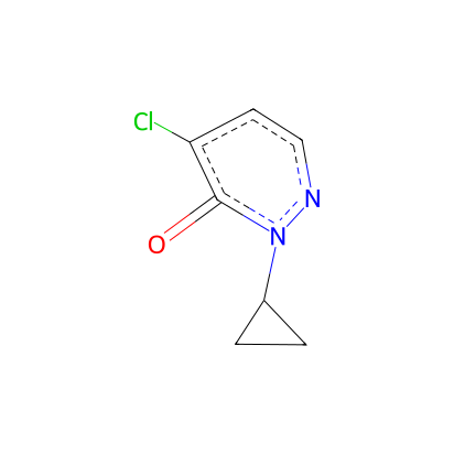 O=c1c(Cl)ccnn1C1CC1